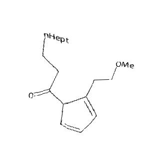 CCCCCCCCCC(=O)C1C=CC=C1CCOC